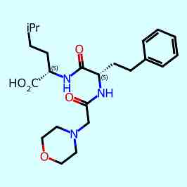 CC(C)CC[C@H](NC(=O)[C@H](CCc1ccccc1)NC(=O)CN1CCOCC1)C(=O)O